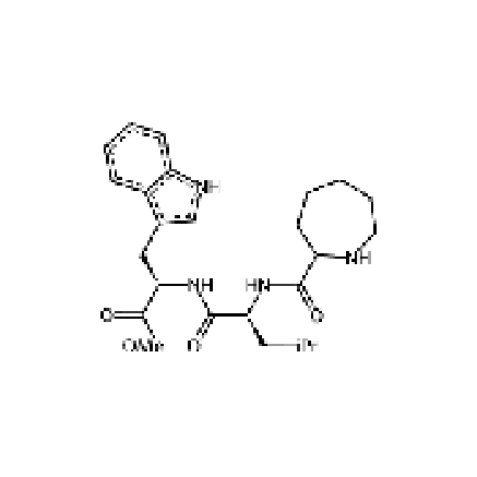 COC(=O)[C@@H](Cc1c[nH]c2ccccc12)NC(=O)[C@H](CC(C)C)NC(=O)C1CCCCCN1